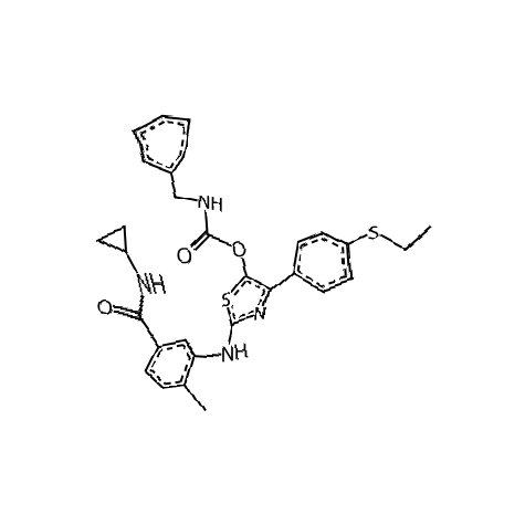 CCSc1ccc(-c2nc(Nc3cc(C(=O)NC4CC4)ccc3C)sc2OC(=O)NCc2ccccc2)cc1